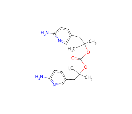 CC(C)(Cc1ccc(N)nc1)OC(=O)OC(C)(C)Cc1ccc(N)nc1